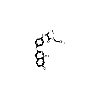 CCOC(=O)C(C)Oc1ccc(Oc2cc3ccc(Cl)cc3[n+]([O-])n2)cc1